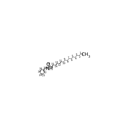 CCCCCCCCCCCC=CC=CC=CC(=O)NCc1ccccc1